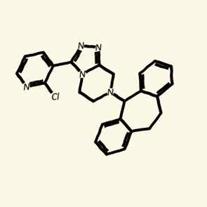 Clc1ncccc1-c1nnc2n1CCN(C1c3ccccc3CCc3ccccc31)C2